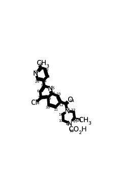 Cc1ccc(-c2cc(Cl)c3ccc(C(=O)N4CCN(C(=O)O)[C@H](C)C4)cc3n2)cn1